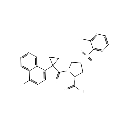 O=C(O)[C@@H]1C[C@@H](S(=O)(=O)c2ccccc2Cl)CN1C(=O)C1(c2ccc(Br)c3ccccc23)CC1